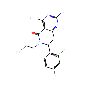 Cc1nc(N)nc2c1C(=O)N(CCC(C)C)C(c1ccc(F)cc1Br)C2